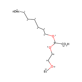 CCCCCCCCCCCCCCCCOC(OCCOCC)C(=O)O